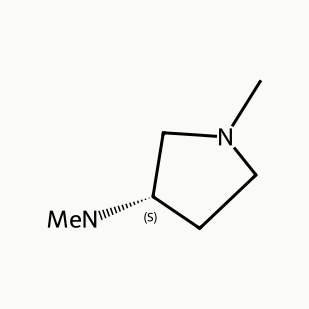 CN[C@H]1CCN(C)C1